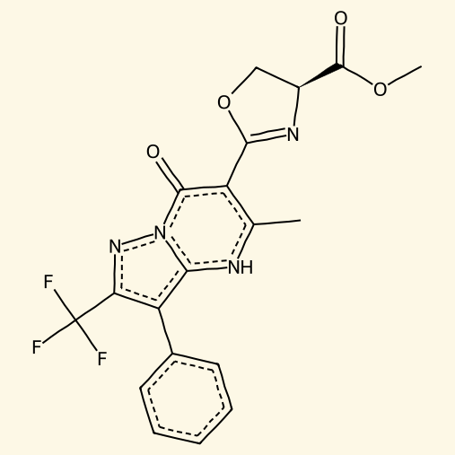 COC(=O)[C@@H]1COC(c2c(C)[nH]c3c(-c4ccccc4)c(C(F)(F)F)nn3c2=O)=N1